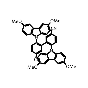 COc1ccc2c(c1)c1cc(OC)ccc1n2-c1ccc(C#N)cc1-c1cc(C#N)ccc1-n1c2ccc(OC)cc2c2cc(OC)ccc21